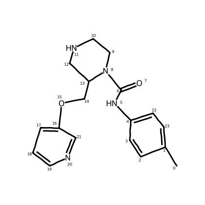 Cc1ccc(NC(=O)N2CCNCC2COc2cccnc2)cc1